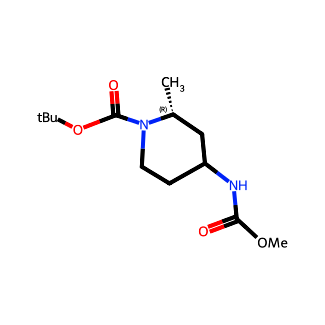 COC(=O)NC1CCN(C(=O)OC(C)(C)C)[C@H](C)C1